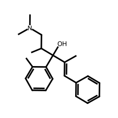 C/C(=C\c1ccccc1)C(O)(c1ccccc1C)C(C)CN(C)C